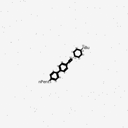 CCCCCc1ccc(-c2ccc(C#C[C@H]3CC[C@H](CCCC)CC3)cc2)cc1